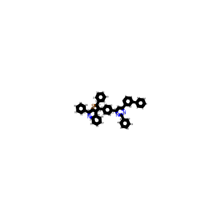 c1ccc(-c2cccc(-c3cc(-c4ccc(-c5c(-c6ccccc6)sc6c(-c7ccccc7)nc7ccccc7c56)cc4)nc(-c4ccccc4)n3)c2)cc1